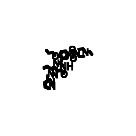 CCCOc1ccc(S(=O)(=O)N2CCN(CC)CC2)cc1-c1nc2c(CC)n(Cc3cccnn3)nc2c(=O)[nH]1